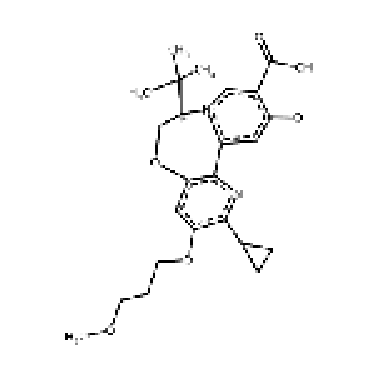 COCCCOc1cc2c(nc1C1CC1)-c1cc(=O)c(C(=O)O)cn1[C@H](C(C)(C)C)CO2